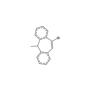 CC1c2ccccc2C=C(Br)c2ccccc21